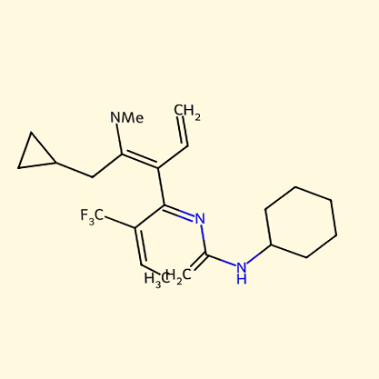 C=CC(=C(CC1CC1)NC)C(=N/C(=C)NC1CCCCC1)/C(=C\C)C(F)(F)F